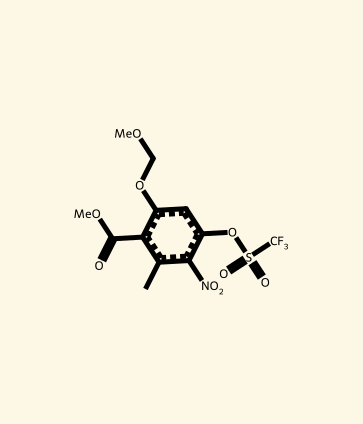 COCOc1cc(OS(=O)(=O)C(F)(F)F)c([N+](=O)[O-])c(C)c1C(=O)OC